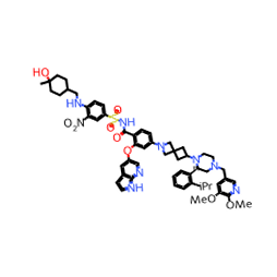 COc1cc(CN2CCN(C3CC4(C3)CN(c3ccc(C(=O)NS(=O)(=O)c5ccc(NCC6CCC(C)(O)CC6)c([N+](=O)[O-])c5)c(Oc5cnc6[nH]ccc6c5)c3)C4)[C@H](c3ccccc3C(C)C)C2)cnc1OC